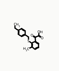 CCc1ccc(CSc2c(C)cccc2C(=O)C(=O)O)cc1